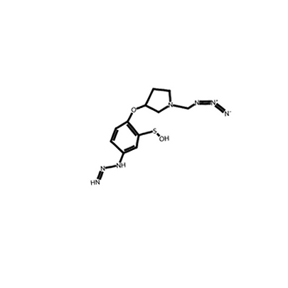 [N-]=[N+]=NCN1CCC(Oc2ccc(NN=N)cc2SO)C1